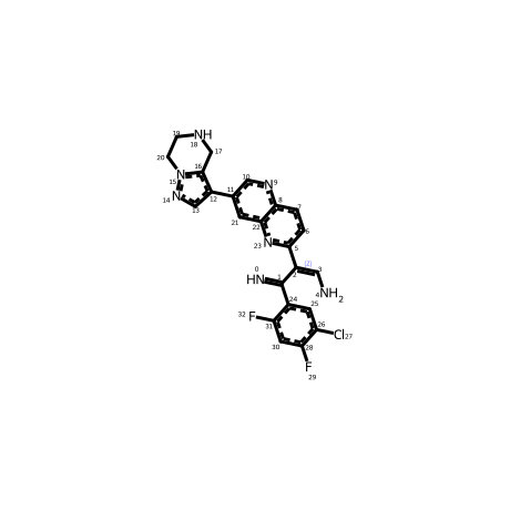 N=C(/C(=C\N)c1ccc2ncc(-c3cnn4c3CNCC4)cc2n1)c1cc(Cl)c(F)cc1F